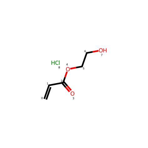 C=CC(=O)OCCO.Cl